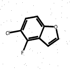 Fc1c(Cl)ccc2o[c]cc12